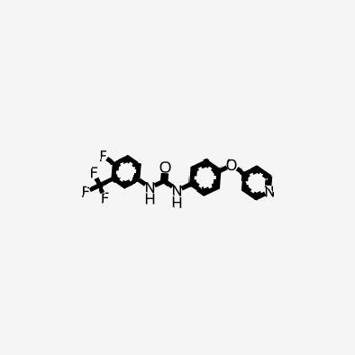 O=C(Nc1ccc(Oc2ccncc2)cc1)Nc1ccc(F)c(C(F)(F)F)c1